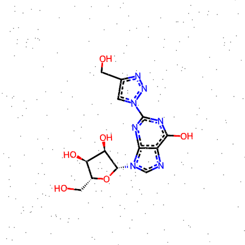 OCc1cn(-c2nc(O)c3ncn([C@@H]4O[C@H](CO)[C@@H](O)[C@H]4O)c3n2)nn1